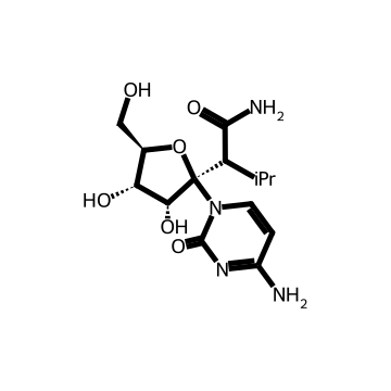 CC(C)C(C(N)=O)[C@@]1(n2ccc(N)nc2=O)O[C@H](CO)[C@@H](O)[C@H]1O